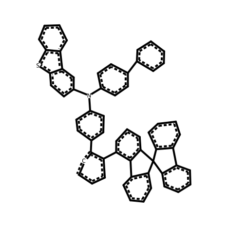 c1ccc(-c2ccc(N(c3ccc(-c4ccccc4-c4cccc5c4-c4ccccc4C54c5ccccc5-c5ccccc54)cc3)c3ccc4sc5ccccc5c4c3)cc2)cc1